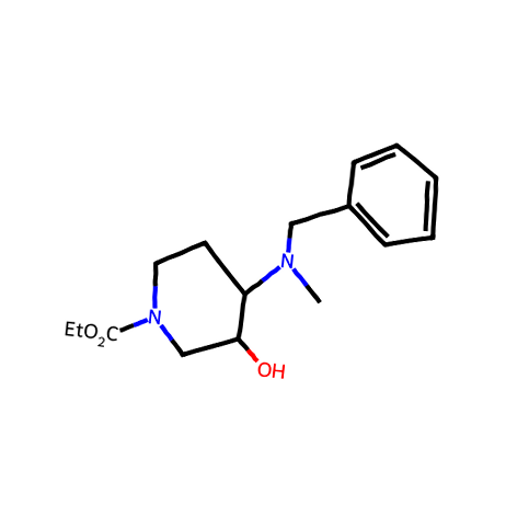 CCOC(=O)N1CCC(N(C)Cc2ccccc2)C(O)C1